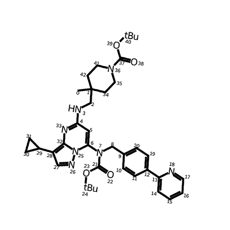 CC1(CNc2cc(N(Cc3ccc(-c4ccccn4)cc3)C(=O)OC(C)(C)C)n3ncc(C4CC4)c3n2)CCN(C(=O)OC(C)(C)C)CC1